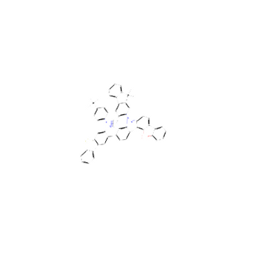 CC(C)(C)c1ccc(N2B3c4cc5c(cc4-n4c6ccc7c8ccccc8oc7c6c6ccc(c3c64)-c3cc4c(cc32)sc2ccccc24)C(C)(C)c2ccccc2-5)cc1